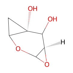 OC1[C@H]2OC2OC2C[C@]21O